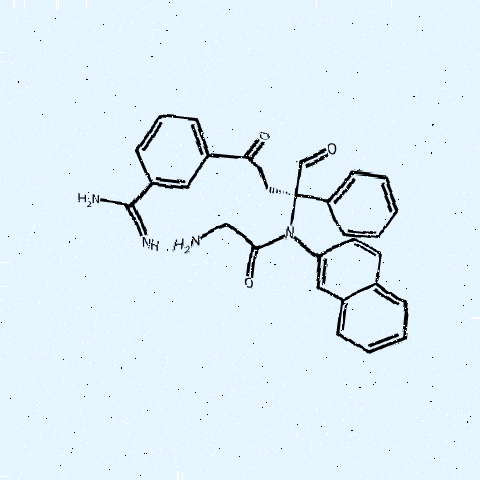 N=C(N)c1cccc(C(=O)C[C@]([C]=O)(c2ccccc2)N(C(=O)CN)c2ccc3ccccc3c2)c1